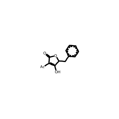 CC(=O)C1=C(O)C(Cc2ccccc2)OC1=O